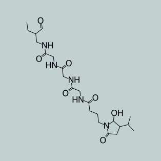 CCC(C=O)CNC(=O)CNC(=O)CNC(=O)CNC(=O)CCCN1C(=O)CC(C(C)C)C1O